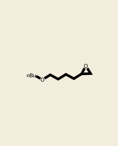 CCCCOCCCCC1CO1